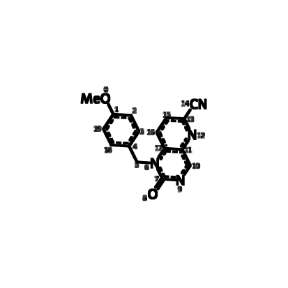 COc1ccc(Cn2c(=O)ncc3nc(C#N)ccc32)cc1